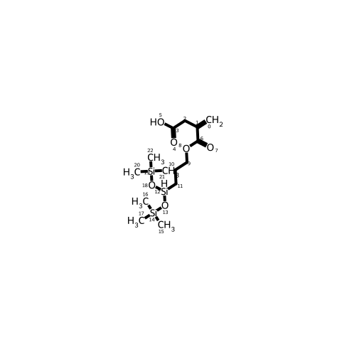 C=C(CC(=O)O)C(=O)OCCC[SiH](O[Si](C)(C)C)O[Si](C)(C)C